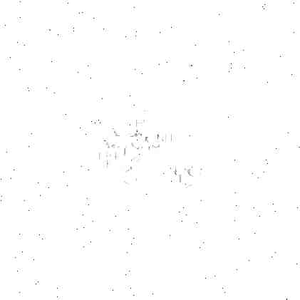 CC[C@H](NC(=O)CCCNc1ccccn1)C(=O)NC(CC(=O)OC(=O)C(F)(F)F)c1ccc(-c2ccccc2)cc1